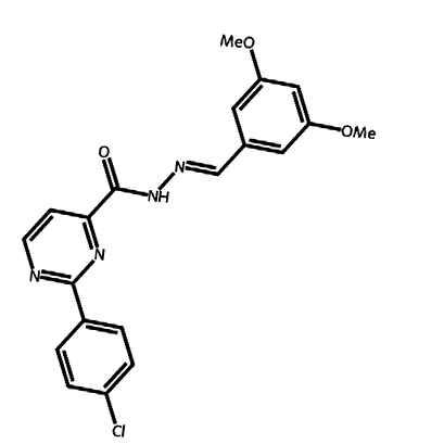 COc1cc(C=NNC(=O)c2ccnc(-c3ccc(Cl)cc3)n2)cc(OC)c1